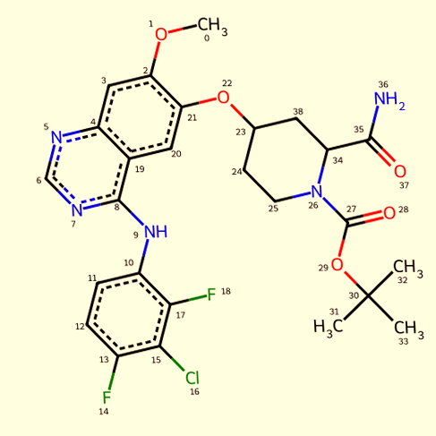 COc1cc2ncnc(Nc3ccc(F)c(Cl)c3F)c2cc1OC1CCN(C(=O)OC(C)(C)C)C(C(N)=O)C1